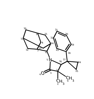 CC1(C)C(=O)N(C2C3CC4CC(C3)CC2C4)C1C1(c2ccccc2)CC1